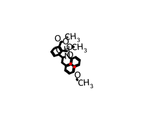 CCOc1ccc(CC(Nc2ccccc2)C23C=CC(O2)C(C(=O)OC)=C3C(=O)OC)cc1